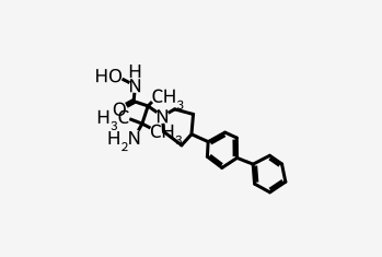 CC(C)(N)C(C)(C(=O)NO)N1CCC(c2ccc(-c3ccccc3)cc2)CC1